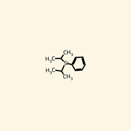 CC(C)[Si](c1ccccc1)C(C)C